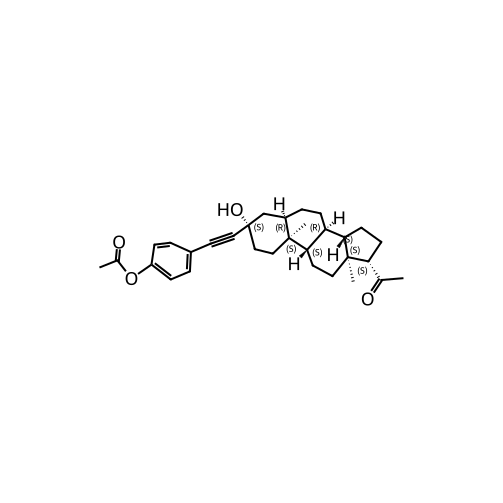 CC(=O)Oc1ccc(C#C[C@]2(O)CC[C@@]3(C)[C@H](CC[C@@H]4[C@@H]3CC[C@]3(C)[C@@H](C(C)=O)CC[C@@H]43)C2)cc1